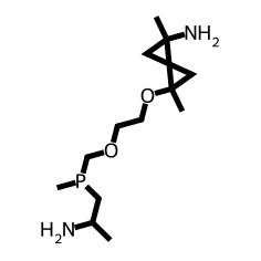 CC(N)CP(C)COCCOC1(C)CC12CC2(C)N